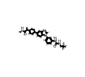 CNC(=O)C(C)c1ccc(-c2ccc3c(c2)ncn3-c2cccc(NC(=O)NCC(F)(F)F)c2)cc1